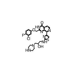 O=c1[nH]c(COc2ccc(F)c(Cl)c2)nc2c(-c3csc(NCC(O)CN4CCNCC4)n3)nccc12